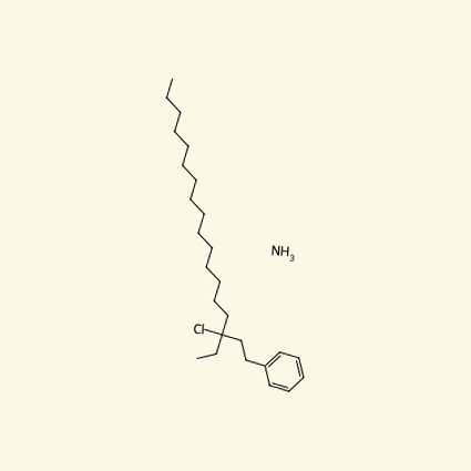 CCCCCCCCCCCCCCCC(Cl)(CC)CCc1ccccc1.N